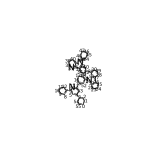 c1ccc(-c2cc(-c3ccccc3)nc(-c3cccc(-n4c5ccccc5c5cccc(-c6ccc7c8ncccc8n(-c8ccccc8)c7c6)c54)c3)c2)cc1